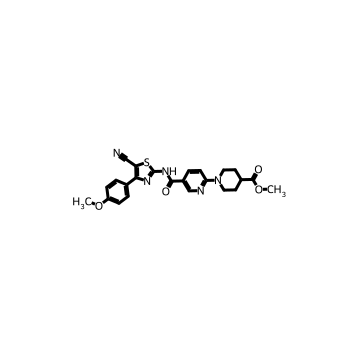 COC(=O)C1CCN(c2ccc(C(=O)Nc3nc(-c4ccc(OC)cc4)c(C#N)s3)cn2)CC1